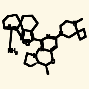 C[C@H](Oc1cc(N2CCN(C)C3(CCC3)C2)nc(-c2onc3c2CCC[C@@]32CCCc3sc(N)c(C#N)c32)n1)[C@@H]1CCCN1C